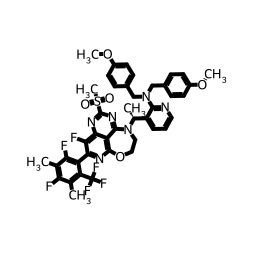 COc1ccc(CN(Cc2ccc(OC)cc2)c2ncccc2[C@@H](C)N2CCOc3nc(-c4c(F)c(C)c(F)c(C)c4C(F)(F)F)c(F)c4nc(S(C)(=O)=O)nc2c34)cc1